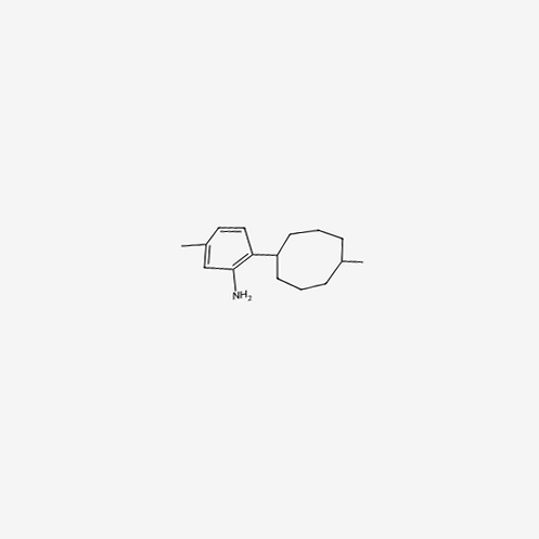 Cc1ccc(C2CCCC(C)CCC2)c(N)c1